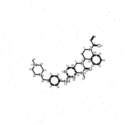 C=CC(=O)N1CCC(N2Cc3cnc(Nc4ccc(CN5CCN(C)CC5)cc4)nc3N(C)C2=O)c2ccccc21